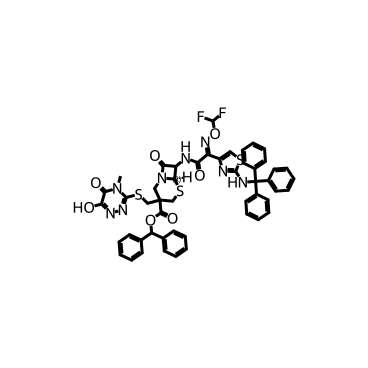 Cn1c(SCC2(C(=O)OC(c3ccccc3)c3ccccc3)CS[C@@H]3C(NC(=O)C(=NOC(F)F)c4csc(NC(c5ccccc5)(c5ccccc5)c5ccccc5)n4)C(=O)N3C2)nnc(O)c1=O